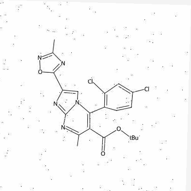 Cc1noc(-c2cn3c(-c4ccc(Cl)cc4Cl)c(C(=O)OC(C)(C)C)c(C)nc3n2)n1